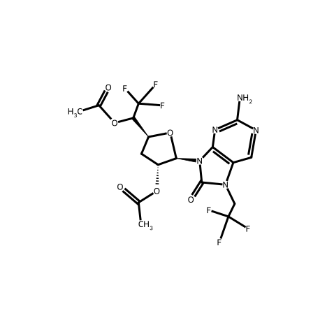 CC(=O)OC([C@@H]1C[C@@H](OC(C)=O)[C@H](n2c(=O)n(CC(F)(F)F)c3cnc(N)nc32)O1)C(F)(F)F